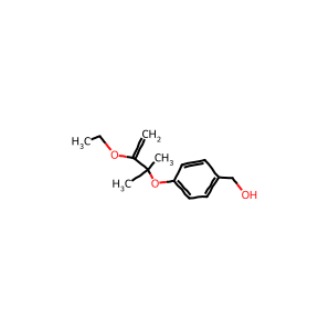 C=C(OCC)C(C)(C)Oc1ccc(CO)cc1